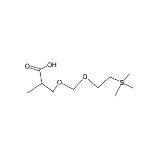 CC(COCOCC[Si](C)(C)C)C(=O)O